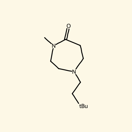 CN1CCN(CCC(C)(C)C)CCC1=O